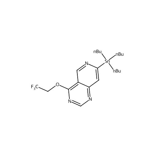 CCC[CH2][Sn]([CH2]CCC)([CH2]CCC)[c]1cc2ncnc(OCC(F)(F)F)c2cn1